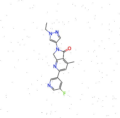 CCn1cc(N2Cc3nc(-c4cncc(F)c4)cc(C)c3C2=O)cn1